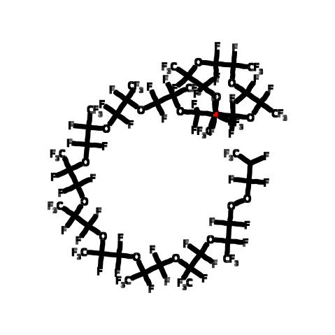 FC(C(F)(F)F)C(F)(F)OOC(F)(F)C(F)(OC(F)(F)C(F)(OC(F)(F)C(F)(OC(F)(F)C(F)(OC(F)(F)C(F)(OC(F)(F)C(F)(OC(F)(F)C(F)(OC(F)(F)C(F)(OC(F)(F)C(F)(OC(F)(F)C(F)(OC(F)(F)C(F)(OC(F)(F)C(F)(OC(F)(F)C(F)(OC(F)(F)C(F)C(F)(F)F)C(F)(F)F)C(F)(F)F)C(F)(F)F)C(F)(F)F)C(F)(F)F)C(F)(F)F)C(F)(F)F)C(F)(F)F)C(F)(F)F)C(F)(F)F)C(F)(F)F)C(F)(F)F)C(F)(F)F